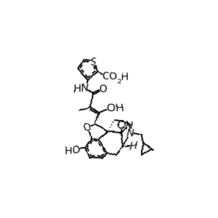 C/C(C(=O)Nc1ccsc1C(=O)O)=C(/O)[C@@H]1Oc2c(O)ccc3c2[C@@]12CCN(CC1CC1)[C@H](C3)[C@@]2(C)O